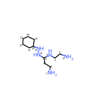 NCCNC(CCN)NNC1CCCCC1